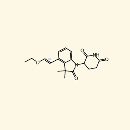 CCO/C=C/c1cccc2c1C(C)(C)C(=O)N2C1CCC(=O)NC1=O